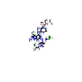 C=CC(=O)N1CCCC(Nc2nc(Nc3cnn(CC(F)F)c3)nc3[nH]nc(Cl)c23)C1.Cl